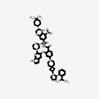 CC(C)c1ccccc1[C@H]1CCCN1C1CC2(CCN(c3ccc(C(=O)NS(=O)(=O)c4cc5c(c([N+](=O)[O-])c4)N[C@@H](C4CCC(C)(C)CC4)CO5)c(Oc4cc5cc[nH]c5nc4N4CCOCC4)c3)CC2)C1